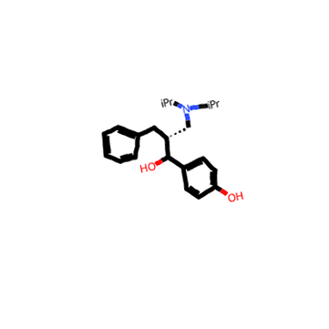 CC(C)N(C[C@@H](Cc1ccccc1)C(O)c1ccc(O)cc1)C(C)C